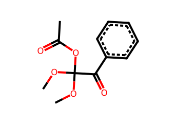 COC(OC)(OC(C)=O)C(=O)c1ccccc1